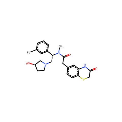 CN(C(=O)Cc1ccc2c(c1)NC(=O)CS2)[C@H](CN1CC[C@@H](O)C1)c1cccc(C(F)(F)F)c1